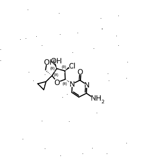 Nc1ccn([C@@H]2O[C@@](CO)(C3CC3)[C@@H](O)[C@H]2Cl)c(=O)n1